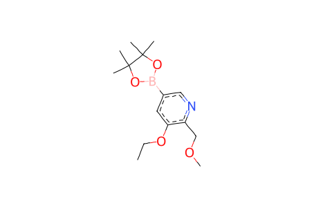 CCOc1cc(B2OC(C)(C)C(C)(C)O2)cnc1COC